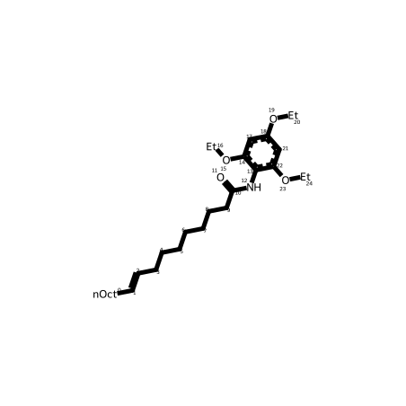 CCCCCCCC/C=C/CCCCCCCC(=O)Nc1c(OCC)cc(OCC)cc1OCC